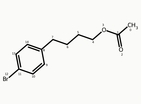 CC(=O)OCCCCc1ccc(Br)cc1